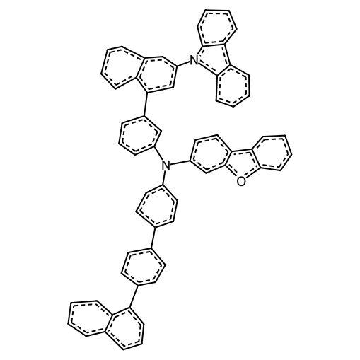 c1cc(-c2cc(-n3c4ccccc4c4ccccc43)cc3ccccc23)cc(N(c2ccc(-c3ccc(-c4cccc5ccccc45)cc3)cc2)c2ccc3c(c2)oc2ccccc23)c1